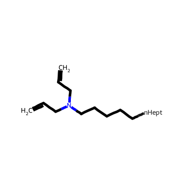 C=CCN(CC=C)CCCCCCCCCCCC